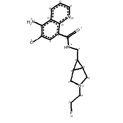 Nc1c(Cl)cc(C(=O)NCC2C3CN(CCF)CC23)c2ncccc12